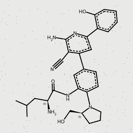 CC(C)C[C@H](N)C(=O)Nc1cc(-c2cc(-c3ccccc3O)nc(N)c2C#N)ccc1N1CCC[C@H]1CO